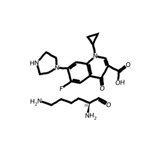 NCCCC[C@H](N)C=O.O=C(O)c1cn(C2CC2)c2cc(N3CCNCC3)c(F)cc2c1=O